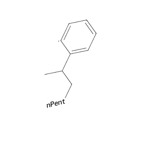 CCCCCCC(C)c1[c]cccc1